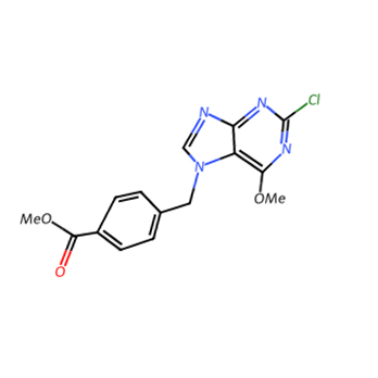 COC(=O)c1ccc(Cn2cnc3nc(Cl)nc(OC)c32)cc1